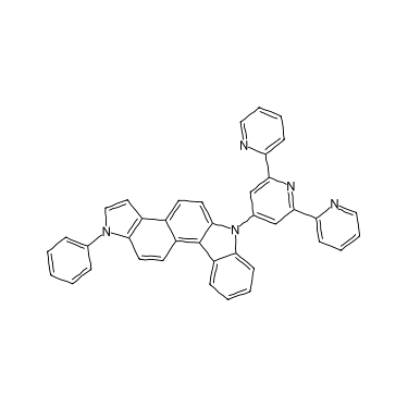 c1ccc(-n2ccc3c4ccc5c(c4ccc32)c2ccccc2n5-c2cc(-c3ccccn3)nc(-c3ccccn3)c2)cc1